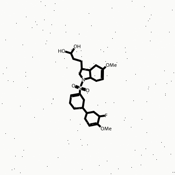 COC1=CCC2C(C1)C(CCC(O)O)CN2S(=O)(=O)C1=CCCC(C2CC=C(OC)C(F)C2)C1